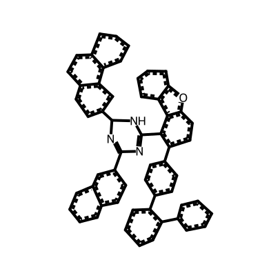 c1ccc(-c2ccccc2-c2ccc(-c3ccc4oc5ccccc5c4c3C3=NC(c4ccc5ccccc5c4)=NC(c4ccc5ccc6ccccc6c5c4)N3)cc2)cc1